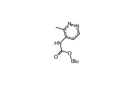 Cc1nnccc1NC(=O)OC(C)(C)C